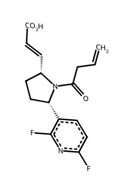 C=CCC(=O)N1[C@@H](/C=C/C(=O)O)CC[C@H]1c1ccc(F)nc1F